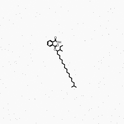 CCC(C)C(CCCCCCCCCCCCCCC(C)C)OC(=O)c1ccccc1C(=O)O